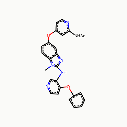 CC(=O)Nc1cc(Oc2ccc3c(c2)nc(Nc2cnccc2Oc2ccccc2)n3C)ccn1